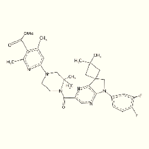 COC(=O)c1c(C)cc(N2CCN(C(=O)c3cnc4c(n3)C3(CN4c4ccc(F)c(F)c4)CC(C)(C)C3)C(C)(C)C2)nc1C